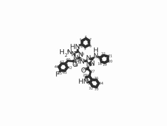 NN1C(Nc2ccccc2)N=C(Nc2nc(Nc3ccccc3)nn2C(=O)Cc2c[nH]c3ccccc23)N1C(=O)Cc1ccc(F)cc1